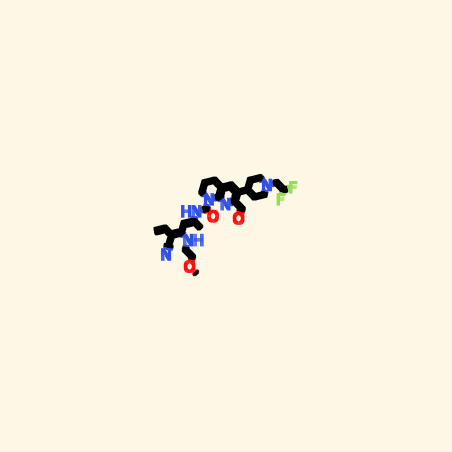 C=C/C(C#N)=C(\C=C(/C)NC(=O)N1CCCc2cc(C3CCN(CC(F)F)CC3)c(C=O)nc21)NCCOC